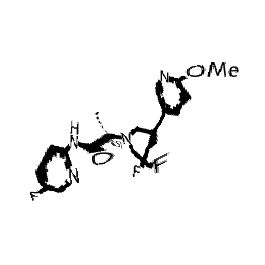 COc1ccc(C2CN([C@@H](C)C(=O)Nc3ccc(F)cn3)CC(F)(F)C2)cn1